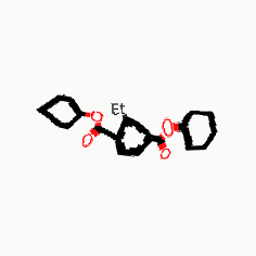 CCc1cc(C(=O)OC2=CCCCC2)ccc1C(=O)OC1=CCCCC1